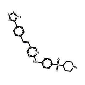 O=S(=O)(c1ccc(Nc2ncc(/C=C/c3ccc(-c4nnn[nH]4)cc3)cn2)cc1)C1CCNCC1